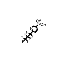 OB(O)c1ccc(C(F)(F)C(F)(F)C(F)(F)F)nc1